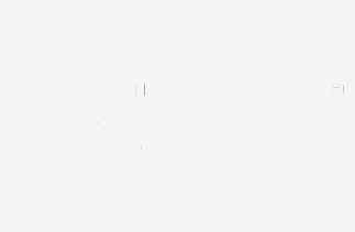 CC1(Oc2ccc(CBr)cc2)CCCCO1